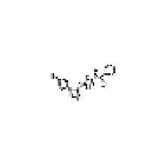 O=C(Nc1cnc(Sc2nnnn2-c2ccc(Br)cc2)s1)c1ccccc1